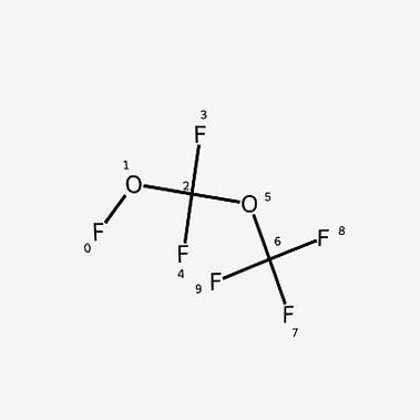 FOC(F)(F)OC(F)(F)F